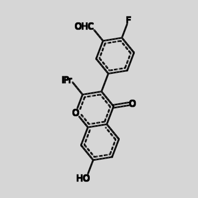 CC(C)c1oc2cc(O)ccc2c(=O)c1-c1ccc(F)c(C=O)c1